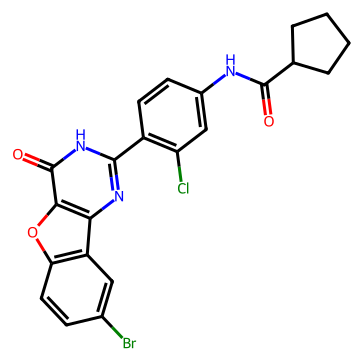 O=C(Nc1ccc(-c2nc3c(oc4ccc(Br)cc43)c(=O)[nH]2)c(Cl)c1)C1CCCC1